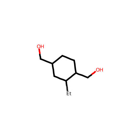 CCC1CC(CO)CCC1CO